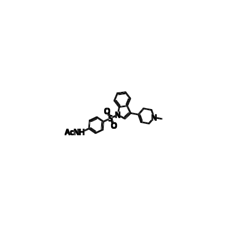 CC(=O)Nc1ccc(S(=O)(=O)n2cc(C3=CCN(C)CC3)c3ccccc32)cc1